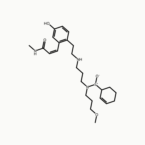 CNC(=O)/C=C\c1cc(O)ccc1CCNCCCN(CCCOC)[S+]([O-])C1C=CCCC1